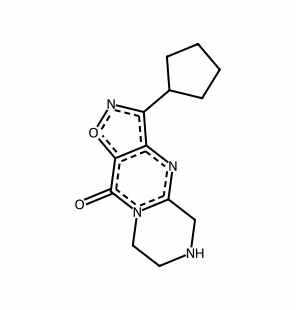 O=c1c2onc(C3CCCC3)c2nc2n1CCNC2